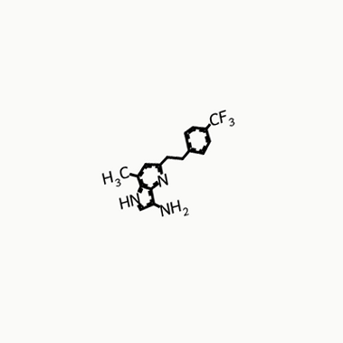 Cc1cc(CCc2ccc(C(F)(F)F)cc2)nc2c(N)c[nH]c12